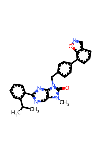 CC(C)c1ccccc1-c1ncc2c(n1)n(Cc1ccc(-c3cccc4cnoc34)cc1)c(=O)n2C